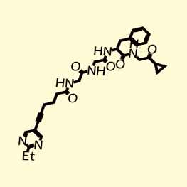 CCc1ncc(C#CCCCC(=O)NCC(=O)NCC(=O)NC(Cc2ccccc2)C(=O)NCC(=O)C2CC2)cn1